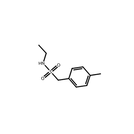 CCNS(=O)(=O)Cc1ccc(C)cc1